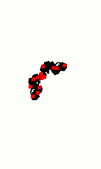 c1cc(-c2ccc3ccc4ccc(-c5cccc6c5oc5ccccc56)nc4c3n2)cc(-c2ccc3ccc4ccc(-c5cccc6c5oc5ccccc56)nc4c3n2)c1